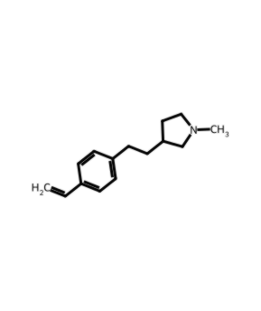 C=Cc1ccc(CCC2CCN(C)C2)cc1